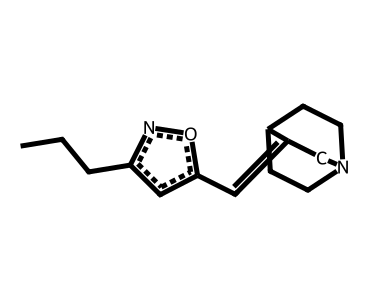 CCCc1cc(C=C2CN3CCC2CC3)on1